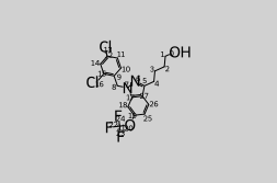 OCCCCc1nn(Cc2ccc(Cl)cc2Cl)c2cc(OC(F)(F)F)ccc12